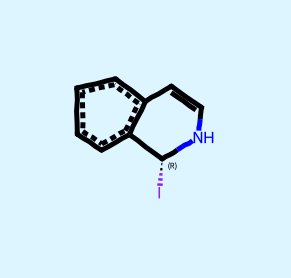 I[C@H]1NC=Cc2ccccc21